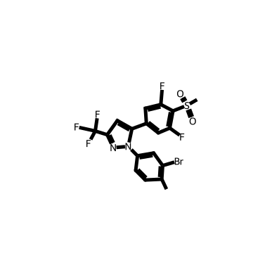 Cc1ccc(-n2nc(C(F)(F)F)cc2-c2cc(F)c(S(C)(=O)=O)c(F)c2)cc1Br